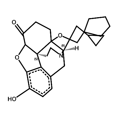 O=C1CCC2(OCC3CCCC3)[C@H]3Cc4ccc(O)c5c4[C@@]2(CCN3CC2CC2)C1O5